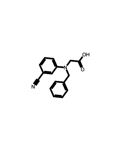 N#Cc1cccc(N(CC(=O)O)Cc2ccccc2)c1